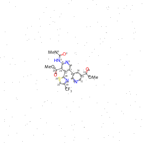 CNC(=O)Nc1ncc(-c2cncc(C(=O)OC)c2)c(-c2nc(C(F)(F)F)cs2)c1C(=O)OC